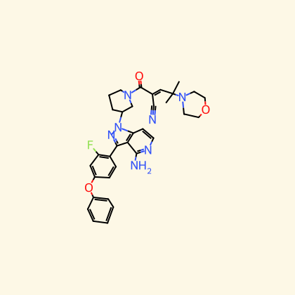 CC(C)(C=C(C#N)C(=O)N1CCCC(n2nc(-c3ccc(Oc4ccccc4)cc3F)c3c(N)nccc32)C1)N1CCOCC1